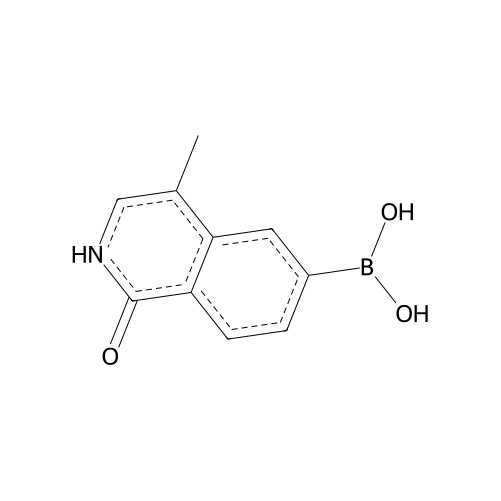 Cc1c[nH]c(=O)c2ccc(B(O)O)cc12